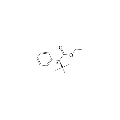 CCOC(=O)[C@H](c1ccccc1)C(C)(C)C